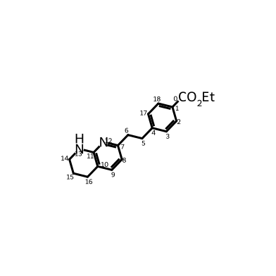 CCOC(=O)c1ccc(CCc2ccc3c(n2)NCCC3)cc1